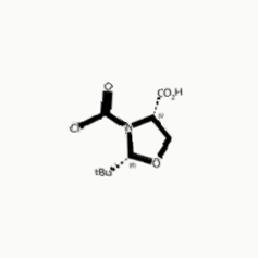 CC(C)(C)[C@H]1OC[C@@H](C(=O)O)N1C(=O)Cl